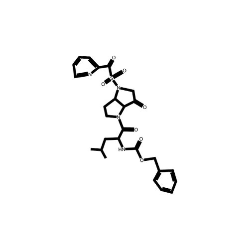 CC(C)CC(NC(=O)OCc1ccccc1)C(=O)N1CCC2C1C(=O)CN2S(=O)(=O)C(=O)c1ccccn1